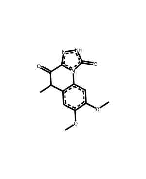 COc1cc2c(cc1OC)-n1c(n[nH]c1=O)C(=O)C2C